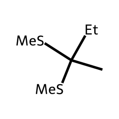 CCC(C)(SC)SC